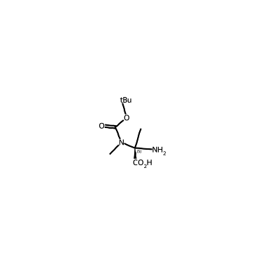 CN(C(=O)OC(C)(C)C)[C@](C)(N)C(=O)O